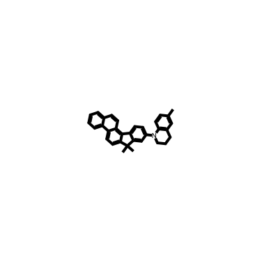 Cc1ccc2c(c1)CCCN2c1ccc2c(c1)C(C)(C)c1ccc3c(ccc4ccccc43)c1-2